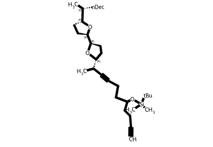 C#CCCC(CCC#CC(C)[C@H]1CC[C@H]([C@H]2CC[C@H]([C@H](C)CCCCCCCCCC)O2)O1)O[Si](C)(C)C(C)(C)C